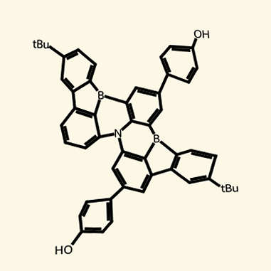 CC(C)(C)c1ccc2c(c1)-c1cccc3c1B2c1cc(-c2ccc(O)cc2)cc2c1N3c1cc(-c3ccc(O)cc3)cc3c1B2c1ccc(C(C)(C)C)cc1-3